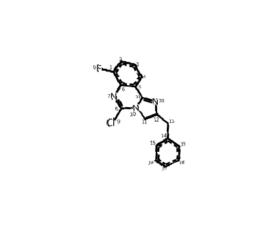 Fc1cccc2c1N=C(Cl)N1CC(Cc3ccccc3)N=C21